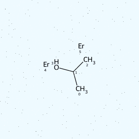 CC(C)O.[Er].[Er]